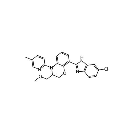 COCC1COc2c(-c3nc4ccc(Cl)cc4[nH]3)cccc2N1c1ccc(C)cn1